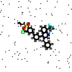 C=CCS(=O)(=O)c1ccc(-c2cccc(-c3c(Cc4ccccc4)cnc4c(C(F)(F)F)cccc34)c2)cc1Cl